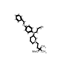 COC(C)(C)CCN1CCCC(N(CCC(C)C)c2ccc(OCc3ccccc3)cc2)C1